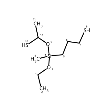 CCO[Si](C)(CCCS)OC(C)S